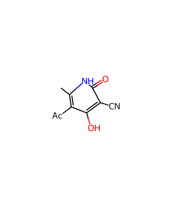 CC(=O)c1c(C)[nH]c(=O)c(C#N)c1O